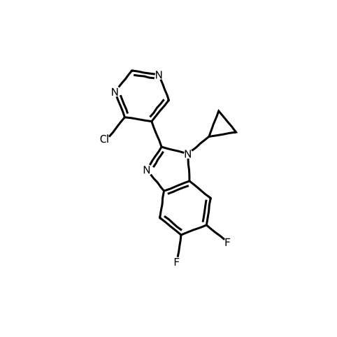 Fc1cc2nc(-c3cncnc3Cl)n(C3CC3)c2cc1F